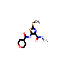 CNC(=O)c1nc(SC)sc1NC(=O)C1CCOCC1